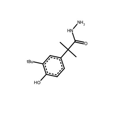 CC(C)(C)c1cc(C(C)(C)C(=O)NN)ccc1O